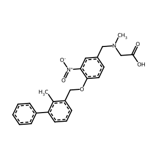 Cc1c(COc2ccc(CN(C)CC(=O)O)cc2[N+](=O)[O-])cccc1-c1ccccc1